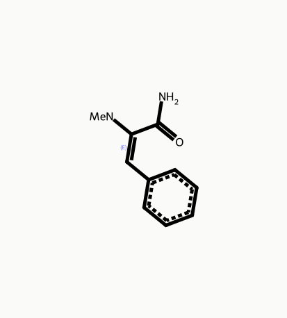 CN/C(=C/c1ccccc1)C(N)=O